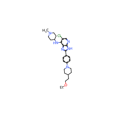 CCOCCC1CCN(c2ccc(-c3nc4c(NC5CCN(C)CC5)c(Cl)cnc4[nH]3)cc2)CC1